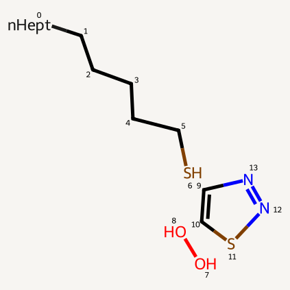 CCCCCCCCCCCCS.OO.c1csnn1